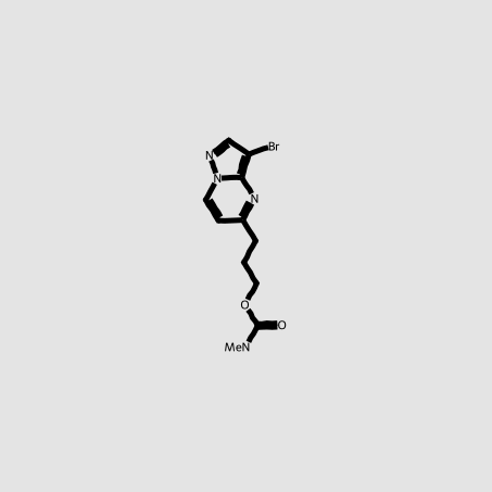 CNC(=O)OCCCc1ccn2ncc(Br)c2n1